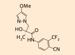 COc1cnn(C[C@](C)(O)C(=O)Nc2ccc(C#N)c(C(F)(F)F)c2)c1